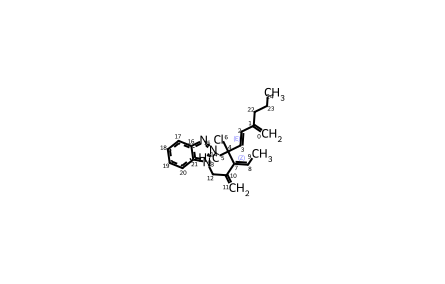 C=C(/C=C/C(C)(Cl)/C(=C\C)C(=C)Cn1nnc2ccccc21)CCC